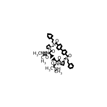 CN[C@@H](C)C(=O)N[C@H](C(=O)N1CCC[C@H]1CN(CCc1ccccc1)C(=O)c1ccc(-c2ccc(C(=O)N(CCc3ccccc3)C[C@@H]3CCCN3C(=O)[C@@H](NC(=O)[C@H](C)NC)C3CC3)cc2)cc1)C1CC1